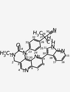 CN1Cc2cnc3ccc(-c4c[nH]c5ncccc45)nc3c2N(c2ccc(C(C)(C)C#N)cc2)C1=O